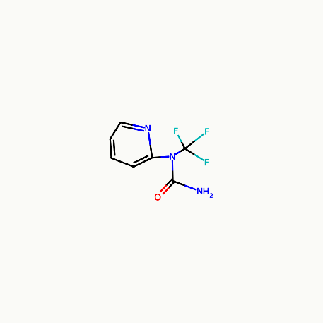 NC(=O)N(c1ccccn1)C(F)(F)F